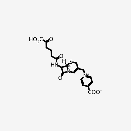 O=C(CCCC(=O)C(=O)O)NC1C(=O)N2C=C(C[n+]3ccc(C(=O)[O-])cc3)CS[C@@H]12